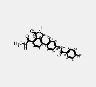 CNC(=O)c1ccc(-c2ccc(NC(=O)c3ccc(F)cc3)cc2F)c2c1C(=O)NC2